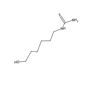 NC(=S)NCCCCCCO